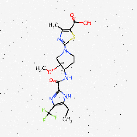 CCc1[nH]c(C(=O)N[C@@H]2CCN(c3nc(C)c(C(=O)O)s3)C[C@@H]2OC)nc1C(F)(F)F